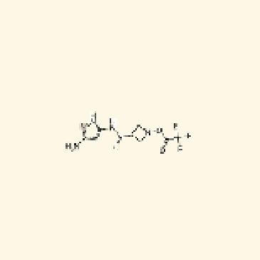 Nc1cc(NC(=O)C2CN(OC(=O)C(F)(F)F)C2)[nH]n1